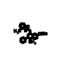 COc1ccc2c(c1)/C(=C/c1nc3c(ccc[n+]3C)o1)C=C(c1ccccc1)N2C